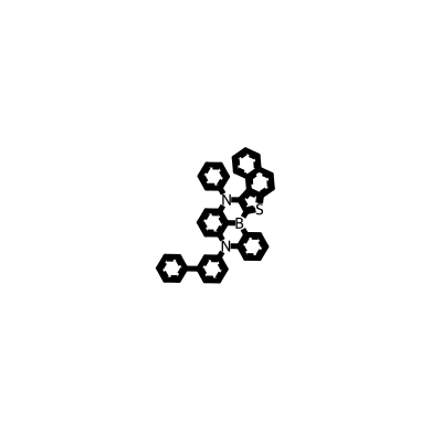 c1ccc(-c2cccc(N3c4ccccc4B4c5sc6ccc7ccccc7c6c5N(c5ccccc5)c5cccc3c54)c2)cc1